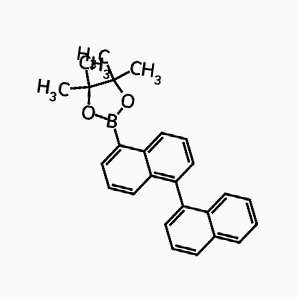 CC1(C)OB(c2cccc3c(-c4cccc5ccccc45)cccc23)OC1(C)C